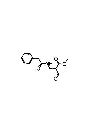 COC(=O)C(CNC(=O)Cc1ccccc1)C(C)=O